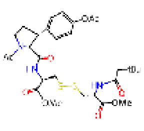 COC(=O)[C@H](CSSC[C@H](NC(=O)[C@@H]1[C@@H](c2ccc(OC(C)=O)cc2)CCN1C(C)=O)C(=O)OC)NC(=O)CC(C)(C)C